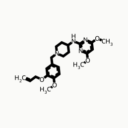 C=CCOc1cc(CN2CCC(Nc3nc(OC)cc(OC)n3)CC2)ccc1OC